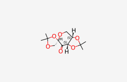 CC1(C)O[C@H]2CO[C@@]3(COC(C)(C)O3)C(=O)[C@H]2O1